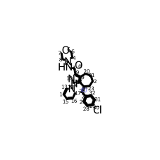 O=C(NN1CCOCC1)c1nn(N2C=CC=CC2)c2c1CCCC/C2=C\c1ccc(Cl)cc1